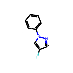 Fc1cnn(-c2cc[c]cc2)c1